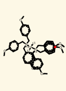 COc1ccc(C[PH](Cc2ccc(OC)cc2)(Cc2ccc(OC)cc2)[Pd]([Cl])([Cl])[PH](Cc2ccc(OC)cc2)(Cc2ccc(OC)cc2)Cc2ccc(OC)cc2)cc1